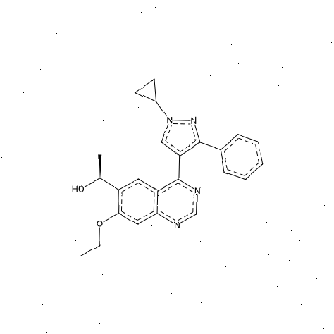 CCOc1cc2ncnc(-c3cn(C4CC4)nc3-c3ccccc3)c2cc1[C@H](C)O